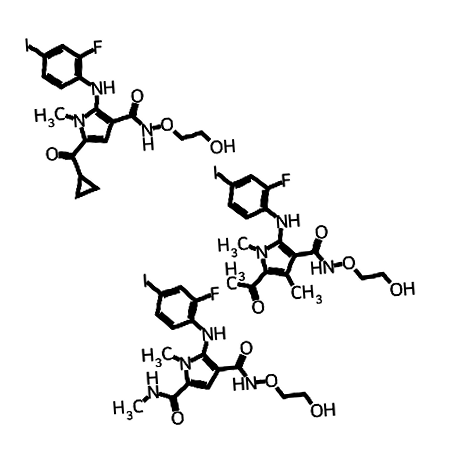 CC(=O)c1c(C)c(C(=O)NOCCO)c(Nc2ccc(I)cc2F)n1C.CNC(=O)c1cc(C(=O)NOCCO)c(Nc2ccc(I)cc2F)n1C.Cn1c(C(=O)C2CC2)cc(C(=O)NOCCO)c1Nc1ccc(I)cc1F